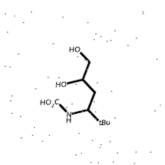 CC(C)(C)C(CC(O)CO)NC(=O)O